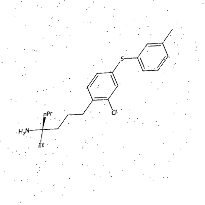 CCC[C@](N)(CC)CCCc1ccc(Sc2cccc(C)c2)cc1Cl